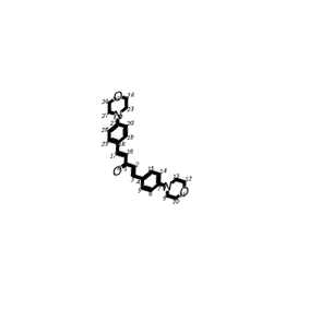 O=C(C=Cc1ccc(N2CCOCC2)cc1)C=Cc1ccc(N2CCOCC2)cc1